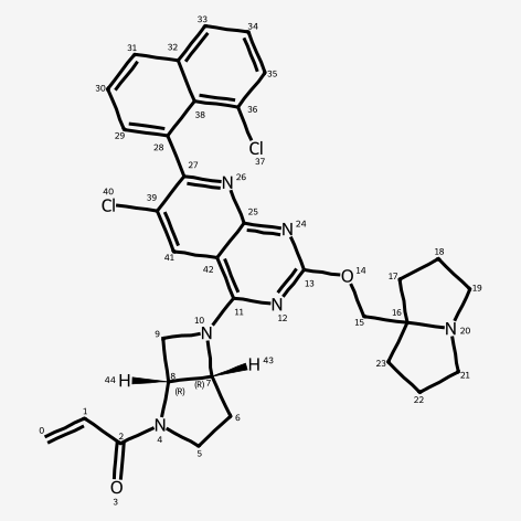 C=CC(=O)N1CC[C@@H]2[C@H]1CN2c1nc(OCC23CCCN2CCC3)nc2nc(-c3cccc4cccc(Cl)c34)c(Cl)cc12